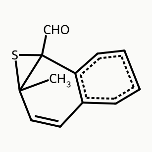 CC12C=Cc3ccccc3C1(C=O)S2